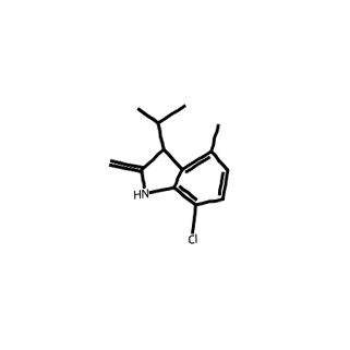 C=C1Nc2c(Cl)ccc(C)c2C1C(C)C